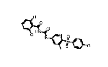 Cc1cc(NC(=O)NC(=O)c2c(Cl)cccc2Cl)cnc1S(=O)(=O)c1ccc(Cl)cc1